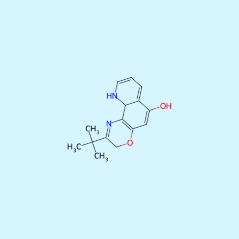 CC(C)(C)C1=NC2=C(C=C(O)C3=CC=CNC32)OC1